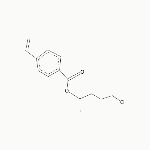 C=Cc1ccc(C(=O)OC(C)CCCCl)cc1